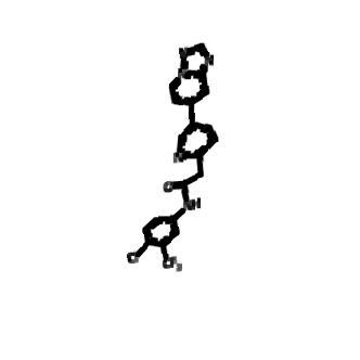 O=C(Cc1ccc(-c2ccn3ncnc3c2)cn1)Nc1ccc(Cl)c(C(F)(F)F)c1